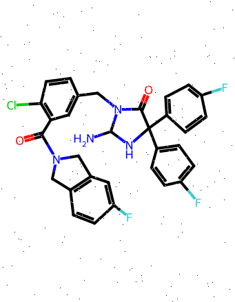 NC1NC(c2ccc(F)cc2)(c2ccc(F)cc2)C(=O)N1Cc1ccc(Cl)c(C(=O)N2Cc3ccc(F)cc3C2)c1